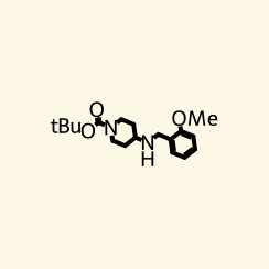 COc1ccccc1CNC1CCN(C(=O)OC(C)(C)C)CC1